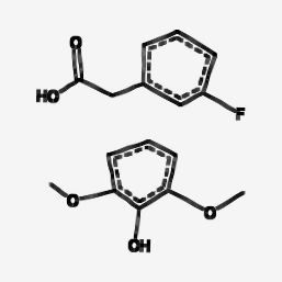 COc1cccc(OC)c1O.O=C(O)Cc1cccc(F)c1